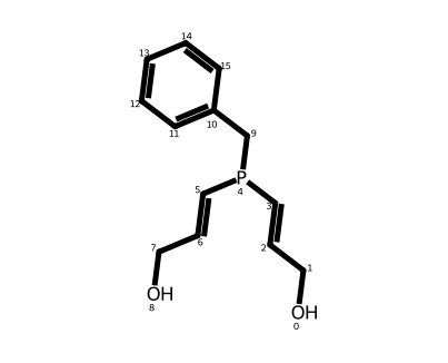 OC/C=C/P(/C=C/CO)Cc1ccccc1